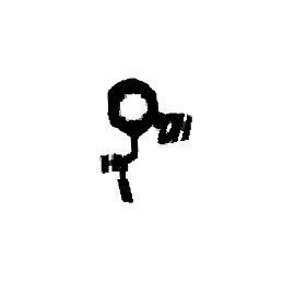 C#CNCc1ccccc1O